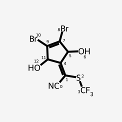 N#CC(SC(F)(F)F)=C1C(O)C(Br)=C(Br)C1O